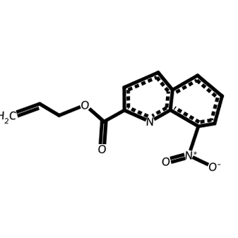 C=CCOC(=O)c1ccc2cccc([N+](=O)[O-])c2n1